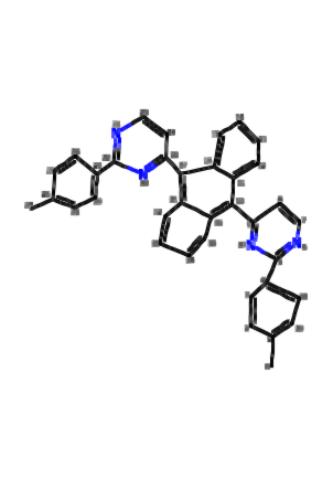 Cc1ccc(-c2nccc(-c3c4ccccc4c(-c4ccnc(-c5ccc(C)cc5)n4)c4ccccc34)n2)cc1